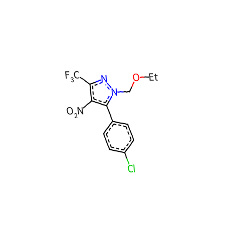 CCOCn1nc(C(F)(F)F)c([N+](=O)[O-])c1-c1ccc(Cl)cc1